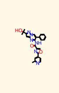 Cc1cc(-c2nc(C(=O)Nc3nc4cc(C(C)(C)O)nn4cc3-c3ccccc3)co2)ccn1